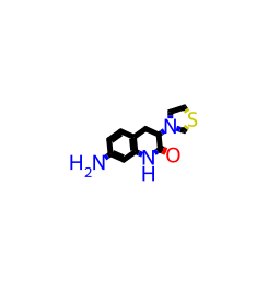 Nc1ccc2c(c1)NC(=O)C(N1CCSC1)C2